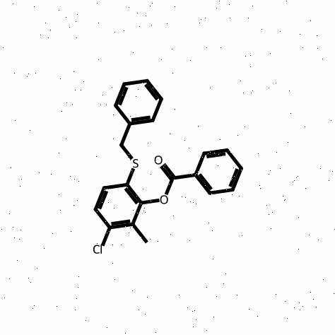 Cc1c(Cl)ccc(SCc2ccccc2)c1OC(=O)c1ccccc1